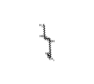 CCCCCCCCCCC(O)C1CCC(C2CCC(C(O)CCCCCCCCCCC(O)CC3=CC(C)OC3=O)O2)O1